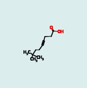 CC(C)(C)CCC#CCCC(=O)O